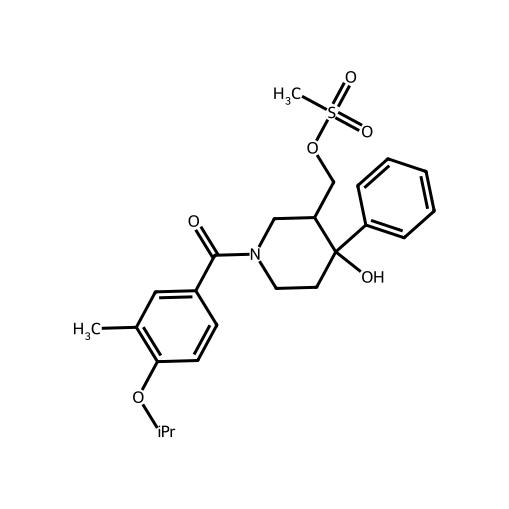 Cc1cc(C(=O)N2CCC(O)(c3ccccc3)C(COS(C)(=O)=O)C2)ccc1OC(C)C